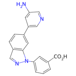 Nc1cncc(-c2ccc3cnn(-c4cccc(C(=O)O)c4)c3c2)c1